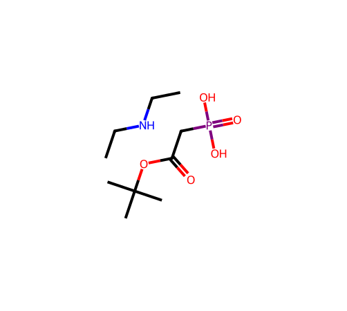 CC(C)(C)OC(=O)CP(=O)(O)O.CCNCC